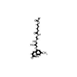 Cc1cc(OCC(O)CNCCNC(=O)CCCCO[N+](=O)[O-])c2ccc(=O)[nH]c2c1